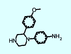 COc1ccc(C2CNCCN2c2ccc(N)cc2)cc1